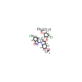 CC[C@@H](Oc1ccc(Cl)c(Oc2c(C)n(-c3noc4cc(Cl)ccc34)c3ccc(OC(F)(F)F)cc23)c1)C(=O)O